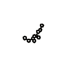 C1=CC(C2=CC3C=CC(n4c5c(c6c4C=CC4CC(C7=CC(C8=CCCC=C8)CC=C7)=C7CCC=CC7C64)CCC=C5)CC3C=C2)=CCC1